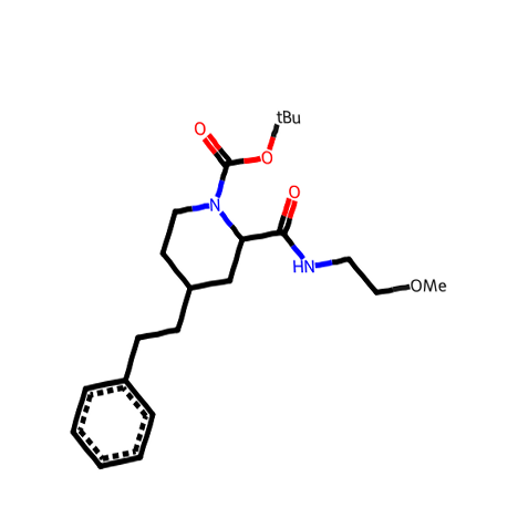 COCCNC(=O)C1CC(CCc2ccccc2)CCN1C(=O)OC(C)(C)C